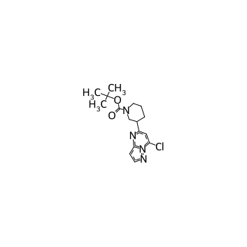 CC(C)(C)OC(=O)N1CCCC(c2cc(Cl)n3nccc3n2)C1